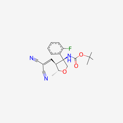 C[C@H]1OC[C@@](NC(=O)OC(C)(C)C)(c2ccccc2F)[C@@H]1C=C(C#N)C#N